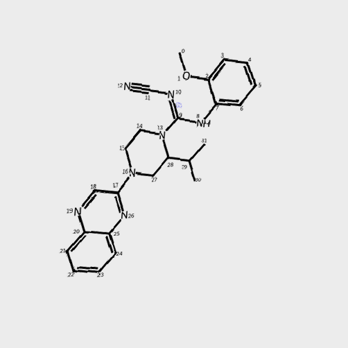 COc1ccccc1N/C(=N/C#N)N1CCN(c2cnc3ccccc3n2)CC1C(C)C